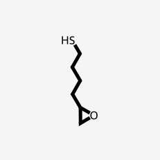 SCCCCC1CO1